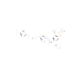 COc1ccc(COC(C)(C)COc2cnc(NC(=O)[C@H](C[C@H]3CCC(=O)C3)c3ccc(S(=O)(=O)C4CC4)c(C4CC4)c3)cn2)cc1